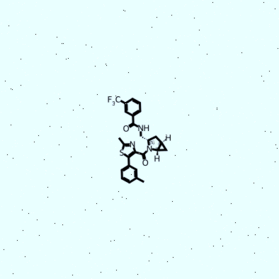 Cc1cccc(-c2sc(C)nc2C(=O)N2[C@H](CNC(=O)c3cccc(C(F)(F)F)c3)C[C@H]3C[C@@H]32)c1